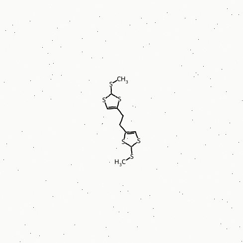 CSC1SC=C(CCC2=CSC(SC)S2)S1